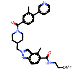 COCCNC(=O)c1ccc2nn(CC3CCN(C(=O)c4ccc(-c5cccnc5)c(C)c4)CC3)cc2c1C